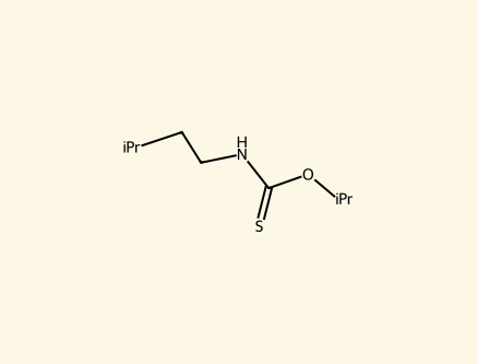 CC(C)CCNC(=S)OC(C)C